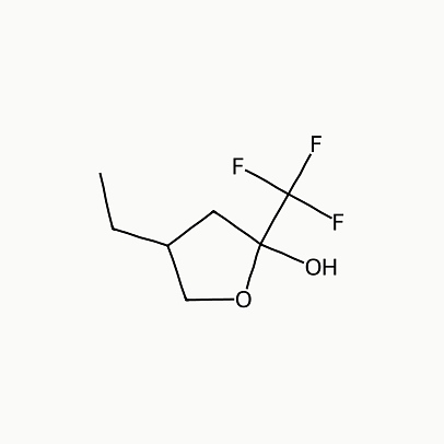 CCC1COC(O)(C(F)(F)F)C1